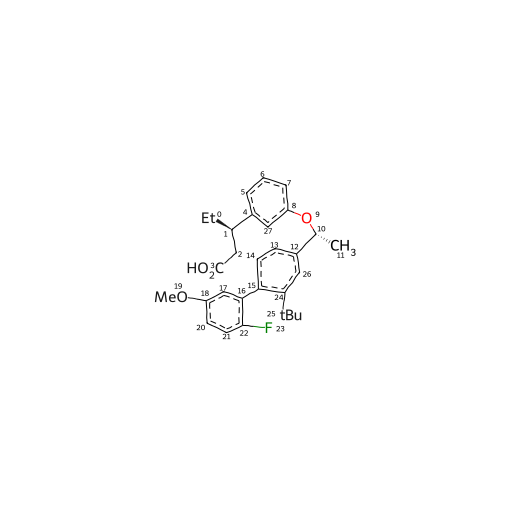 CC[C@H](CC(=O)O)c1cccc(O[C@H](C)c2ccc(-c3cc(OC)ccc3F)c(C(C)(C)C)c2)c1